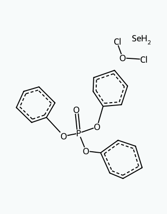 ClOCl.O=P(Oc1ccccc1)(Oc1ccccc1)Oc1ccccc1.[SeH2]